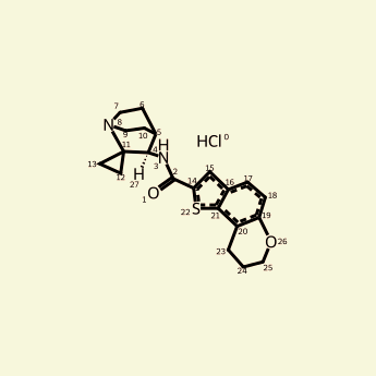 Cl.O=C(N[C@@H]1C2CCN(CC2)C12CC2)c1cc2ccc3c(c2s1)CCCO3